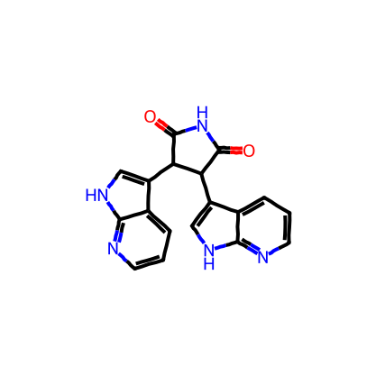 O=C1NC(=O)C(c2c[nH]c3ncccc23)C1c1c[nH]c2ncccc12